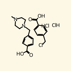 CN1CCN(Cc2ccc(C(=O)O)cc2)CC1.Cl.Cl.O=C(O)c1ccc(CCl)cc1